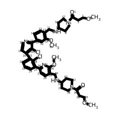 COCCC(=O)N1CCC(NCc2ccc(-c3nccc(-c4cccc(-c5ccc(CNC6CCN(C(=O)CCOC)CC6)c(OC)n5)c4Cl)c3Cl)cc2OC)CC1